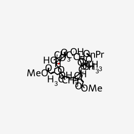 CCCC(=O)O[C@H]1C[C@H]2C[C@@H](O)CC(=O)O[C@@H]([C@H](C)O)C[C@@H]3C/C(=C\C(=O)OC)C[C@@](O)(O3)C(C)(C)/C=C/[C@H]3C/C(=C\C(=O)OC)C[C@@H](C[C@](O)(O2)C1(C)C)O3